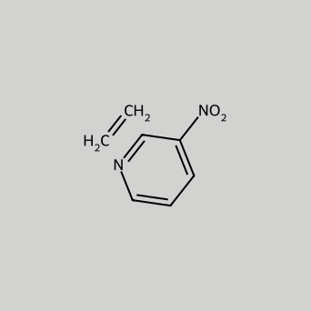 C=C.O=[N+]([O-])c1cccnc1